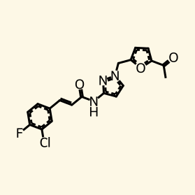 CC(=O)c1ccc(Cn2ccc(NC(=O)C=Cc3ccc(F)c(Cl)c3)n2)o1